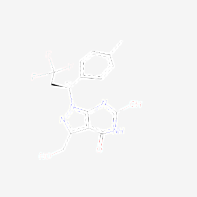 Cc1ccc([C@H](CC(F)(F)F)n2nc(CO)c3c(=O)[nH]c(O)nc32)cc1